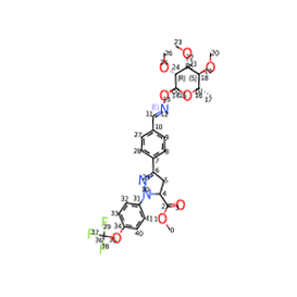 COC(=O)C1CC(c2ccc(/C=N/O[C@@H]3O[C@@H](C)[C@H](OC)[C@@H](OC)[C@H]3OC)cc2)=NN1c1ccc(OC(F)(F)F)cc1